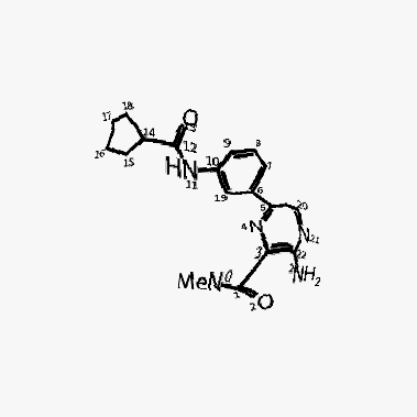 CNC(=O)c1nc(-c2cccc(NC(=O)C3CCCC3)c2)cnc1N